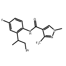 CC(C)CC(C)c1cc(F)ccc1NC(=O)c1cn(C)nc1C(F)(F)F